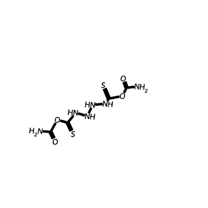 NC(=O)OC(=S)NNNNC(=S)OC(N)=O